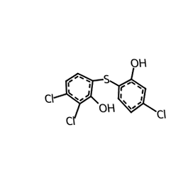 Oc1cc(Cl)ccc1Sc1ccc(Cl)c(Cl)c1O